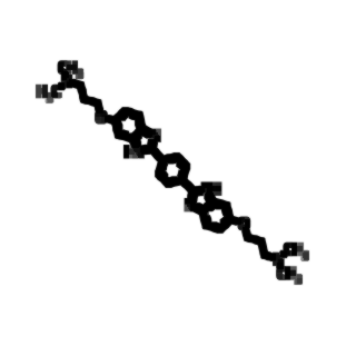 CN(C)CCCOc1ccc2nc(-c3ccc(-c4nc5ccc(OCCCN(C)C)cc5[nH]4)cc3)[nH]c2c1